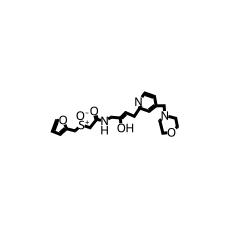 O=C(C[S+]([O-])Cc1ccco1)NC/C(O)=C/Cc1cc(CN2CCOCC2)ccn1